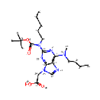 CCCCCN(C(=O)OC(C)(C)C)c1nc(N(C)CCCC)c2ncn(CC(=O)O)c2n1